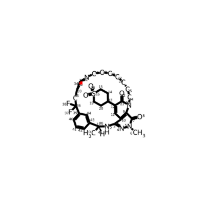 C[C@H]1Nc2nn(C)c(=O)c3c2cc(C2CCS(=O)(=O)CC2)c(=O)n3CCCCCCCN2CC(C2)CC(F)(F)c2cccc1c2